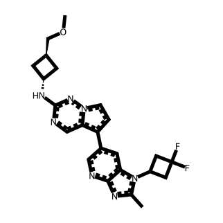 COC[C@H]1C[C@H](Nc2ncc3c(-c4cnc5nc(C)n(C6CC(F)(F)C6)c5c4)ccn3n2)C1